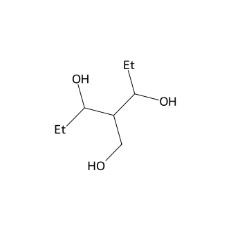 CCC(O)C(CO)C(O)CC